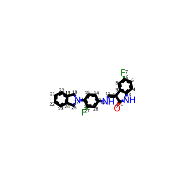 O=C1Nc2ccc(F)cc2C1=CNc1ccc(N2Cc3ccccc3C2)c(F)c1